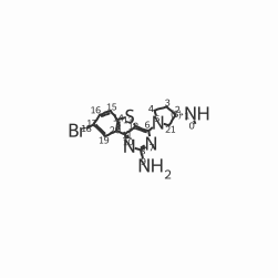 CN[C@H]1CCN(c2nc(N)nc3c2sc2ccc(Br)cc23)C1